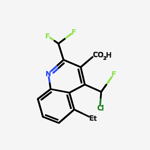 CCc1cccc2nc(C(F)F)c(C(=O)O)c(C(F)Cl)c12